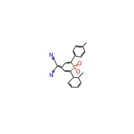 Cc1ccc(C2=CC(=C(C#N)C#N)C=C(C3C=CC=CC3C)S2(=O)=O)cc1